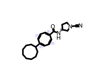 N#CN1CC[C@@H](NC(=O)C2=C/C=C\C(C3CCCCCCCC3)=C/C=C\2)C1